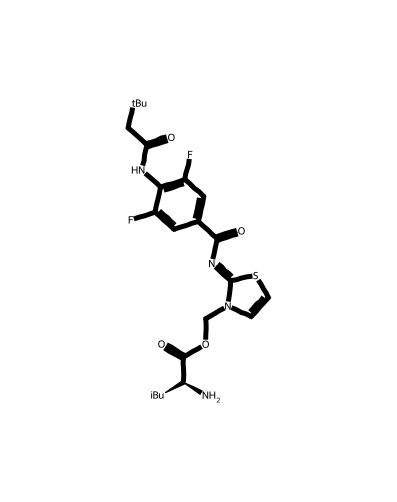 CC[C@H](C)[C@H](N)C(=O)OCn1ccs/c1=N\C(=O)c1cc(F)c(NC(=O)CC(C)(C)C)c(F)c1